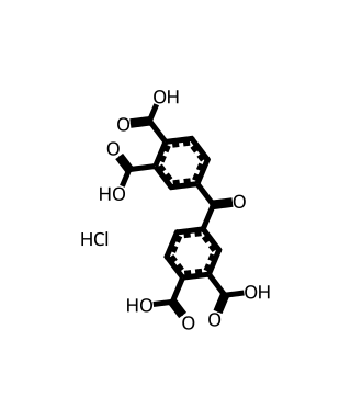 Cl.O=C(c1ccc(C(=O)O)c(C(=O)O)c1)c1ccc(C(=O)O)c(C(=O)O)c1